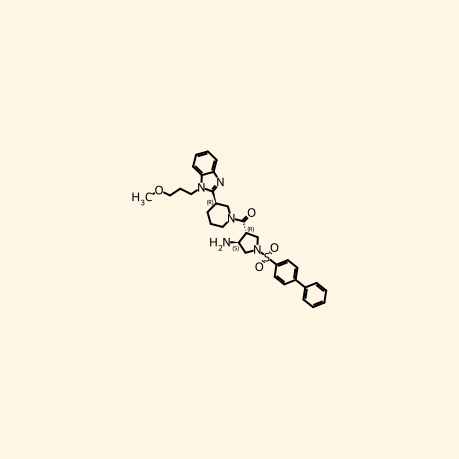 COCCCn1c([C@@H]2CCCN(C(=O)[C@@H]3CN(S(=O)(=O)c4ccc(-c5ccccc5)cc4)C[C@H]3N)C2)nc2ccccc21